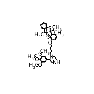 COc1cc(C2CNCCN2CCCCOc2cccc(C3(C(C)C)Sc4ccccc4C(C)[NH+]3[O-])c2)cc(OC)c1OC